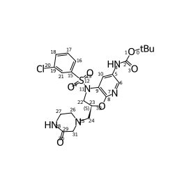 CC(C)(C)OC(=O)Nc1cnc2c(c1)N(S(=O)(=O)c1cccc(Cl)c1)C[C@H](CN1CCNC(=O)C1)O2